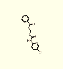 O=C(CCSC(=S)Nc1ccc(Cl)cn1)c1ccccc1